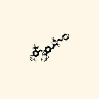 COc1ccc(Cn2nc(OC)c3cc(/C=C4\SC(=O)N(CCN5CCOCC5)C4=O)ccc32)c(C(F)(F)F)c1